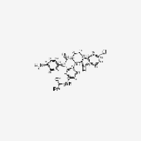 CC(C)C(=O)Nc1ccc(C2c3[nH]c4ccc(Cl)cc4c3CCN2C(=O)Oc2ccc(N)cc2)cc1